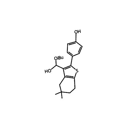 CC(C)COC(O)c1c(-c2ccc(O)cc2)sc2c1CC(C)(C)CC2